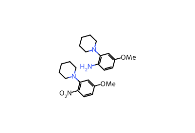 COc1ccc(N)c(N2CCCCC2)c1.COc1ccc([N+](=O)[O-])c(N2CCCCC2)c1